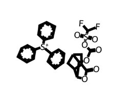 O=C(OC1C2CC3C(=O)OC1C3C2)OS(=O)(=O)C(F)F.c1ccc([S+](c2ccccc2)c2ccccc2)cc1